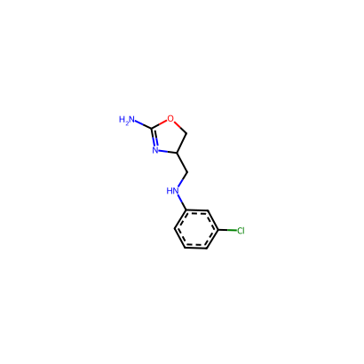 NC1=NC(CNc2cccc(Cl)c2)CO1